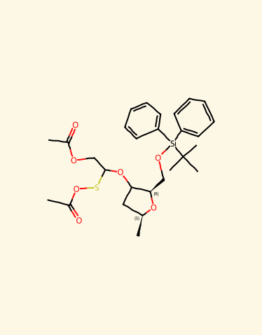 CC(=O)OCC(OC1C[C@H](C)O[C@@H]1CO[Si](c1ccccc1)(c1ccccc1)C(C)(C)C)SOC(C)=O